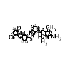 Cc1nc(N)nc(C)c1CNc1ncnc2nn(Cc3ccc(Cc4[nH]c(=O)ccc4Cl)cc3)cc12